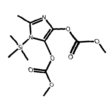 COC(=O)Oc1nc(C)n([Si](C)(C)C)c1OC(=O)OC